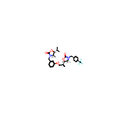 CC(C)[C@H]1OC(=O)N(Cc2cccc(OCC(C)[C@H]3OC(=O)N(Cc4ccc(C(F)(F)F)cc4)[C@@H]3C)c2)[C@@H]1C